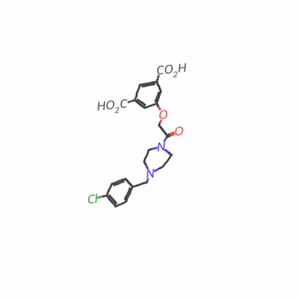 O=C(O)c1cc(OCC(=O)N2CCN(Cc3ccc(Cl)cc3)CC2)cc(C(=O)O)c1